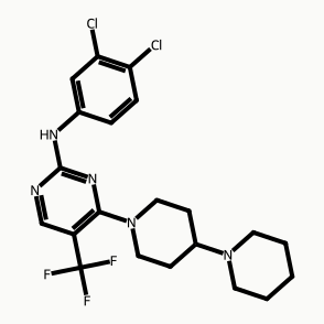 FC(F)(F)c1cnc(Nc2ccc(Cl)c(Cl)c2)nc1N1CCC(N2CCCCC2)CC1